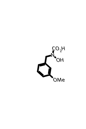 COc1cccc(CN(O)C(=O)O)c1